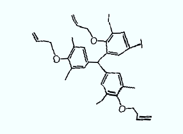 C=CCOc1c(C)cc(C(c2cc(C)c(OCC=C)c(C)c2)c2cc(I)cc(I)c2OCC=C)cc1C